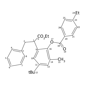 CCOC(=O)C(Cc1ccccc1)c1cc(C(C)(C)C)cc(C)c1OC(=O)c1ccc(CC)cc1